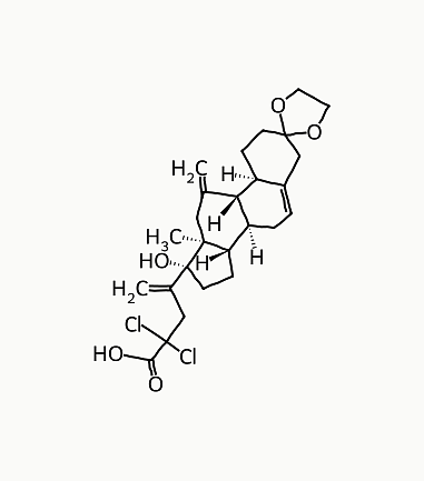 C=C1C[C@@]2(C)[C@@H](CC[C@@]2(O)C(=C)CC(Cl)(Cl)C(=O)O)[C@@H]2CC=C3CC4(CC[C@@H]3[C@@H]12)OCCO4